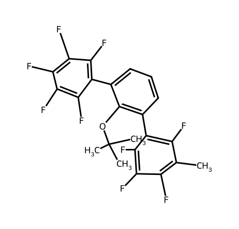 Cc1c(F)c(F)c(F)c(-c2cccc(-c3c(F)c(F)c(F)c(F)c3F)c2OC(C)(C)C)c1F